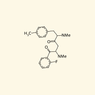 CNC(Cc1ccc(C)cc1)C(=O)CC(NC)C(=O)c1ccccc1F